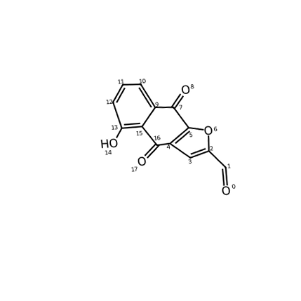 O=Cc1cc2c(o1)C(=O)c1cccc(O)c1C2=O